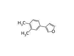 Cc1ccc(-c2c[c]oc2)cc1C